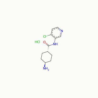 Cl.N[C@H]1CC[C@H](C(=O)Nc2cnccc2Cl)CC1